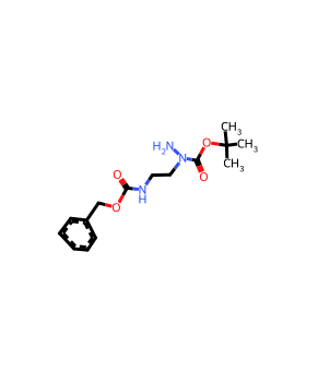 CC(C)(C)OC(=O)N(N)CCNC(=O)OCc1ccccc1